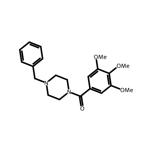 COc1cc(C(=O)N2CCN(Cc3ccccc3)CC2)cc(OC)c1OC